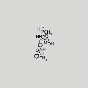 Cc1ccccc1NC(=O)Nc1ccc(CC(=O)NC(CC(C)C)C2=NCC(CC(=O)O)O2)cc1